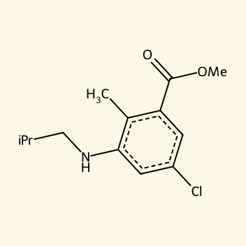 COC(=O)c1cc(Cl)cc(NCC(C)C)c1C